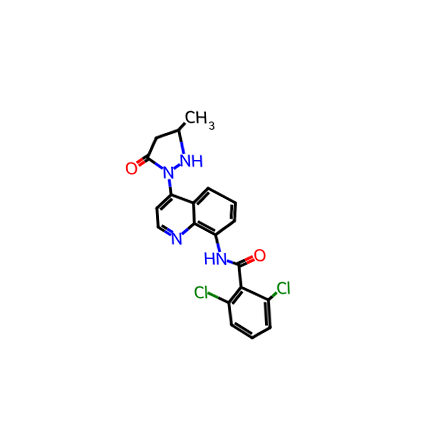 CC1CC(=O)N(c2ccnc3c(NC(=O)c4c(Cl)cccc4Cl)cccc23)N1